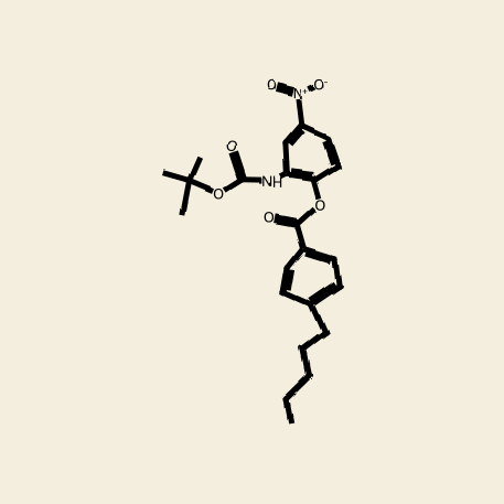 CCCCCc1ccc(C(=O)Oc2ccc([N+](=O)[O-])cc2NC(=O)OC(C)(C)C)cc1